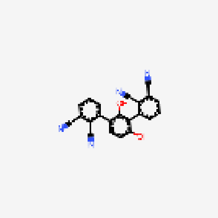 N#Cc1cccc(-c2ccc(O)c(-c3cccc(C#N)c3C#N)c2O)c1C#N